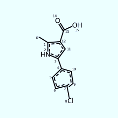 Cc1[nH]c(-c2ccc(Cl)cc2)cc1C(=O)O